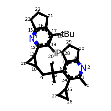 Cc1nc2c(c(C(C)(C)CC3CC3c3nc4c(c(C(C)(C)C)c3C(C)C)CCC4)c1C1CC1)CCC2